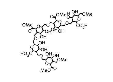 COCC1OC(C(=O)O)C(COCC2OC(C(=O)OC)C(COCC3OC(C(=O)OC)C(COCC4OC(C(=O)O)C(COCC5OC(C(=O)OC)C(COC)C(O)C5O)C(O)C4O)C(O)C3O)C(O)C2O)C(O)C1O